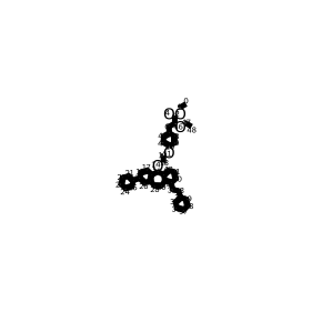 CCOC(=O)C(Cc1ccc(OCCOC2c3ccc(-c4ccccc4)cc3C=Cc3c(CCc4ccccc4)cccc32)cc1)OCC